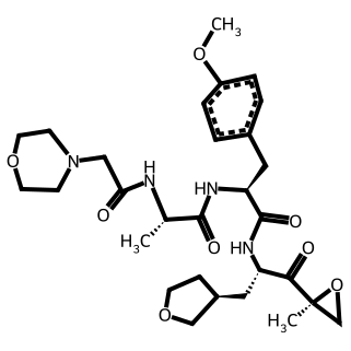 COc1ccc(C[C@H](NC(=O)[C@H](C)NC(=O)CN2CCOCC2)C(=O)N[C@@H](C[C@@H]2CCOC2)C(=O)[C@]2(C)CO2)cc1